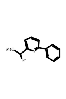 COC(c1cccc(-c2ccccc2)n1)C(C)C